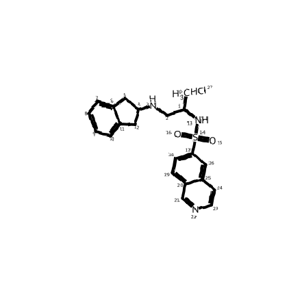 CC(CNC1Cc2ccccc2C1)NS(=O)(=O)c1ccc2cnccc2c1.Cl